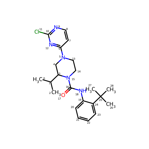 CC(C)C1CN(c2ccnc(Cl)n2)CCN1C(=O)Nc1ccccc1C(C)(C)C